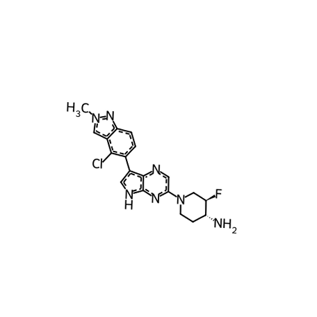 Cn1cc2c(Cl)c(-c3c[nH]c4nc(N5CC[C@@H](N)[C@H](F)C5)cnc34)ccc2n1